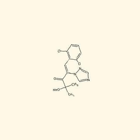 COC(C)(C)C(=O)/C(=C/c1c(Cl)cccc1Cl)n1cncn1